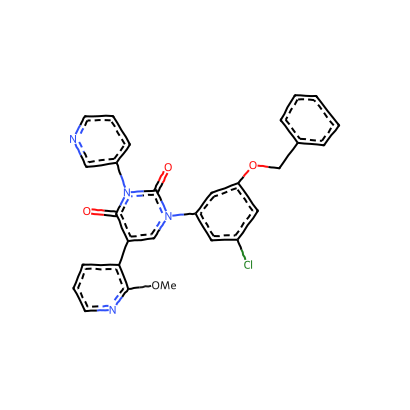 COc1ncccc1-c1cn(-c2cc(Cl)cc(OCc3ccccc3)c2)c(=O)n(-c2cccnc2)c1=O